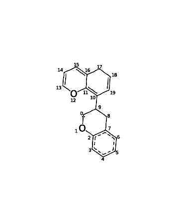 [C]1Oc2ccccc2CC1C1=C2OC=CC=C2CC=C1